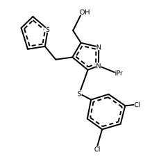 CC(C)n1nc(CO)c(Cc2cccs2)c1Sc1cc(Cl)cc(Cl)c1